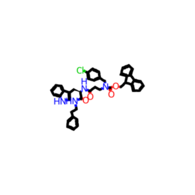 O=C(CCN(Cc1ccc(Cl)cc1)C(=O)OCC1c2ccccc2-c2ccccc21)N[C@H](Cc1c[nH]c2ccccc12)C(=O)NCCc1ccccc1